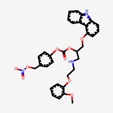 COc1ccccc1OCCNCC(COc1cccc2[nH]c3ccccc3c12)OC(=O)Oc1ccc(CO[N+](=O)[O-])cc1